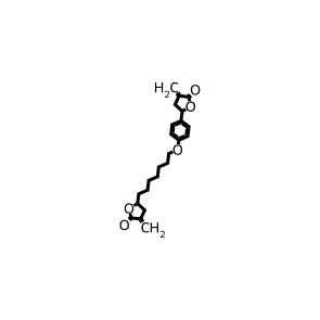 C=C1CC(CCCCCCCOc2ccc(C3CC(=C)C(=O)O3)cc2)OC1=O